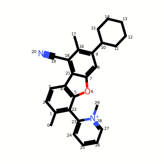 Cc1ccc2c(oc3cc(C4CCCCC4)c(C)c(C#N)c32)c1-c1cccc[n+]1C